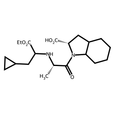 CCOC(=O)C(CC1CC1)N[C@@H](C)C(=O)N1C2CCCCC2C[C@H]1C(=O)O